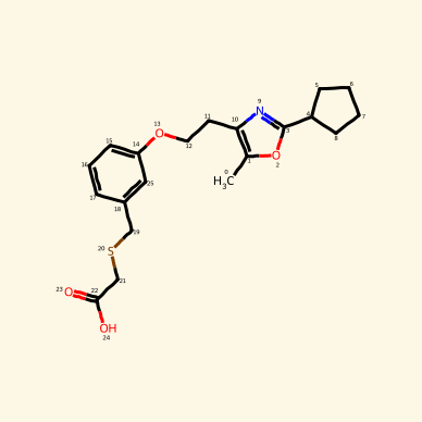 Cc1oc(C2CCCC2)nc1CCOc1cccc(CSCC(=O)O)c1